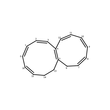 C1=CC=CC2=C(CC=CC=CC=C2)CCC=C1